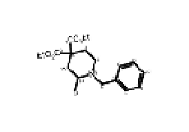 CCOC(=O)C1(C(=O)OCC)CCN(Cc2ccccc2)C(C)C1